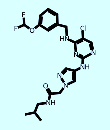 CC(C)CNC(=O)Cn1cc(Nc2ncc(Cl)c(NCc3cccc(OC(F)F)c3)n2)cn1